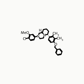 COc1cc(N2CCN3[C@@H](CCC[C@@H]3c3ccc(OCc4ccccc4)c(C)c3C)C2)ccc1Cl